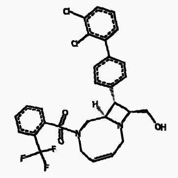 O=S(=O)(c1ccccc1C(F)(F)F)N1C/C=C\CN2[C@H](CO)[C@@H](c3ccc(-c4cccc(Cl)c4Cl)cc3)[C@@H]2C1